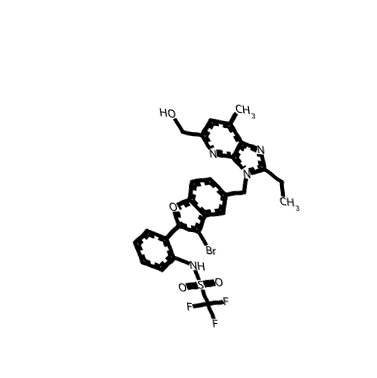 CCc1nc2c(C)cc(CO)nc2n1Cc1ccc2oc(-c3ccccc3NS(=O)(=O)C(F)(F)F)c(Br)c2c1